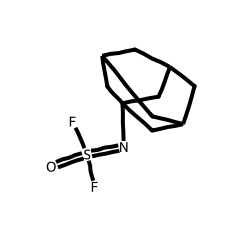 O=S(F)(F)=NC12CC3CC(CC(C3)C1)C2